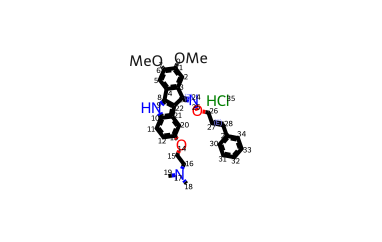 COc1cc2c(cc1OC)-c1[nH]c3ccc(OCCN(C)C)cc3c1/C2=N\OC/C=C/c1ccccc1.Cl